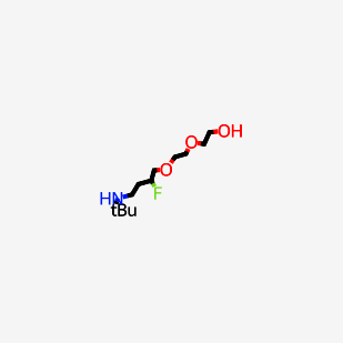 CC(C)(C)NCCC(F)COCCOCCO